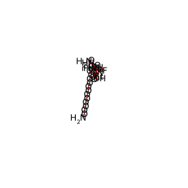 CC[C@@]1(O)C(=O)OCc2c1cc1n(c2=O)Cc2c-1nc1cc(F)c(C)c3c1c2[C@@H](NC(=O)[C@H](CCCNC(N)=O)NC(=O)C(NC(=O)CCOCCOCCOCCOCCOCCOCCOCCOCCOCCOCCOCCN)C(C)C)CC3